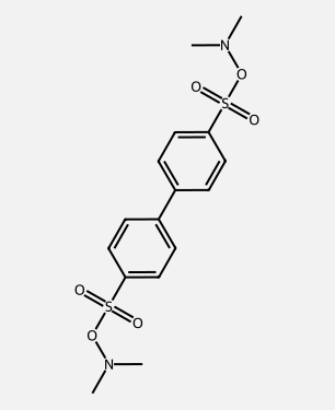 CN(C)OS(=O)(=O)c1ccc(-c2ccc(S(=O)(=O)ON(C)C)cc2)cc1